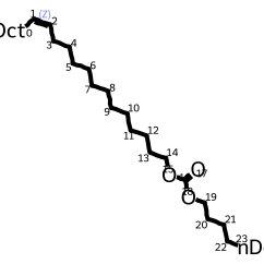 CCCCCCCC/C=C\CCCCCCCCCCCCOC(=O)OCCCCCCCCCCCCCC